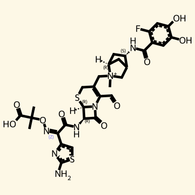 CC(C)(O/N=C(\C(=O)N[C@@H]1C(=O)N2C(C=O)=C(C[N+]3(C)CC4C[C@@H]3C[C@@H]4NC(=O)c3cc(O)c(O)cc3F)CS[C@H]12)c1csc(N)n1)C(=O)O